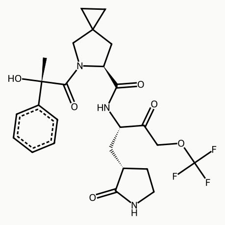 C[C@@](O)(C(=O)N1CC2(CC2)C[C@H]1C(=O)N[C@@H](C[C@@H]1CCNC1=O)C(=O)COC(F)(F)F)c1ccccc1